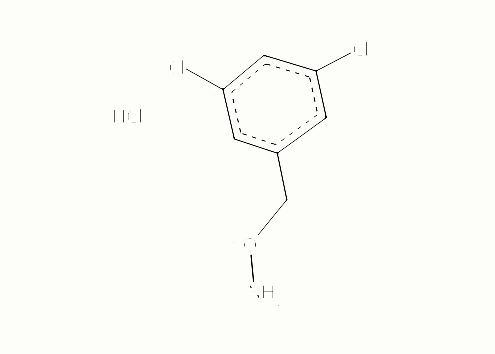 Cl.NOCc1cc(Cl)cc(Cl)c1